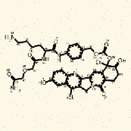 CCc1c2c(nc3ccc(O)cc13)-c1cc3c(c(=O)n1C2)CCC(=O)C3(CC)OC(=O)OCc1ccc(NC(=O)C(CCCCN)NC(=O)COCC(N)=O)cc1